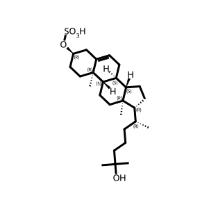 C[C@H](CCCC(C)(C)O)[C@H]1CC[C@H]2[C@@H]3CC=C4C[C@H](OS(=O)(=O)O)CC[C@]4(C)[C@H]3CC[C@]12C